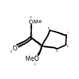 COC(=O)C1(OC)CCCC1